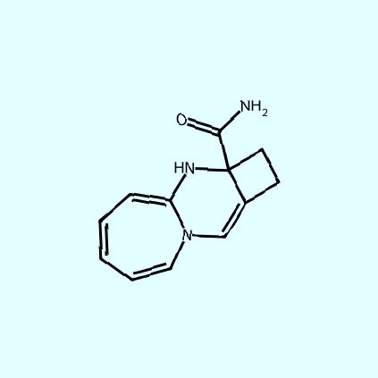 NC(=O)C12CCC1=CN1C=CC=CC=C1N2